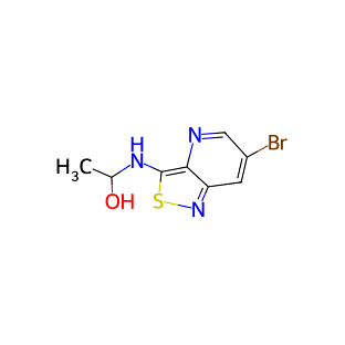 CC(O)Nc1snc2cc(Br)cnc12